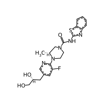 C[C@@H]1CN(C(=O)Nc2nc3ccccc3s2)CCN1c1ncc(C[C@@H](O)CO)cc1F